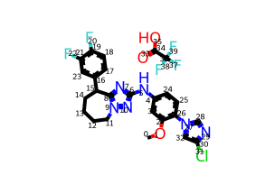 COc1cc(Nc2nc3n(n2)CCCCC3c2ccc(F)c(F)c2)ccc1-n1cnc(Cl)c1.O=C(O)C(F)(F)F